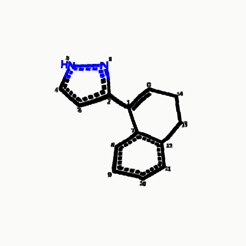 C1=C(c2cc[nH]n2)c2ccccc2CC1